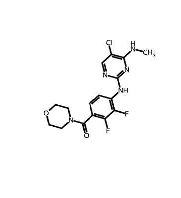 CNc1nc(Nc2ccc(C(=O)N3CCOCC3)c(F)c2F)ncc1Cl